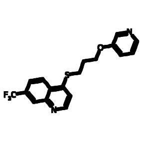 FC(F)(F)c1ccc2c(SCCCOc3cccnc3)ccnc2c1